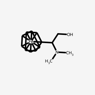 CN(C)C(CO)[C]12[CH]3[CH]4[CH]5[CH]1[Fe]45321678[CH]2[CH]1[CH]6[CH]7[CH]28